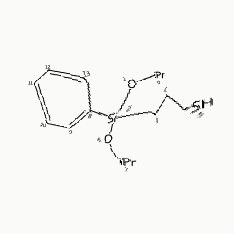 CC(C)O[Si](CCS)(OC(C)C)c1ccccc1